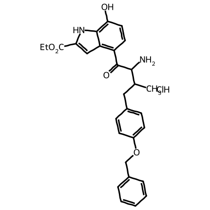 CCOC(=O)c1cc2c(C(=O)C(N)C(C)Cc3ccc(OCc4ccccc4)cc3)ccc(O)c2[nH]1.Cl